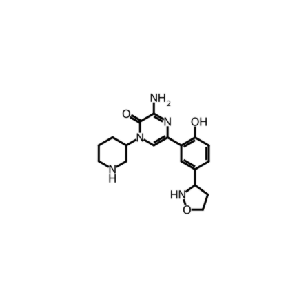 Nc1nc(-c2cc(C3CCON3)ccc2O)cn(C2CCCNC2)c1=O